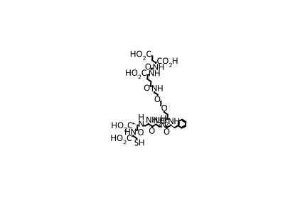 NC(CN[C@@H](CC(=O)O)C(=O)N[C@@H](CS)C(=O)O)C(=O)[C@@H](N)CNC(=O)[C@H](Cc1ccccc1)NC(=O)CCOCCOCCNC(=O)CC[C@H](NC(=O)N[C@@H](CCC(=O)O)C(=O)O)C(=O)O